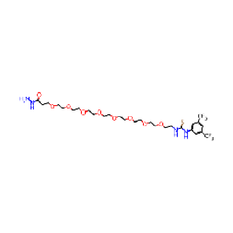 NNC(=O)CCOCCOCCOCCOCCOCCOCCOCCOCCNC(=S)Nc1cc(C(F)(F)F)cc(C(F)(F)F)c1